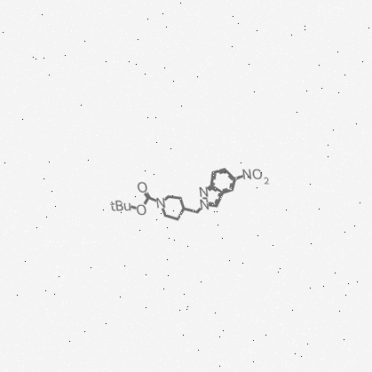 CC(C)(C)OC(=O)N1CCC(Cn2cc3cc([N+](=O)[O-])ccc3n2)CC1